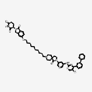 O=C1CCC(N2Cc3cc(OCCCCCCCCCCN4CCC5(CC4)CCN(c4cncc(Nc6ncc(Cl)c(-c7cccc(-c8ccccc8)c7)n6)c4)C5=O)ccc3C2=O)C(=O)N1